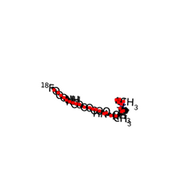 CN1/C(=C/c2cc[n+](CCC[N+](C)(C)CCCCCC(=O)NCCOCCOCCOCCOCCOCCOCCN3C=C(COCCOCCOCC[18F])NN3)c3ccccc23)Sc2ccccc21